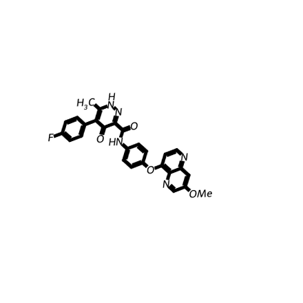 COc1cnc2c(Oc3ccc(NC(=O)c4n[nH]c(C)c(-c5ccc(F)cc5)c4=O)cc3)ccnc2c1